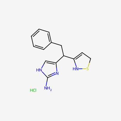 Cl.Nc1nc(C(Cc2ccccc2)C2=CCSN2)c[nH]1